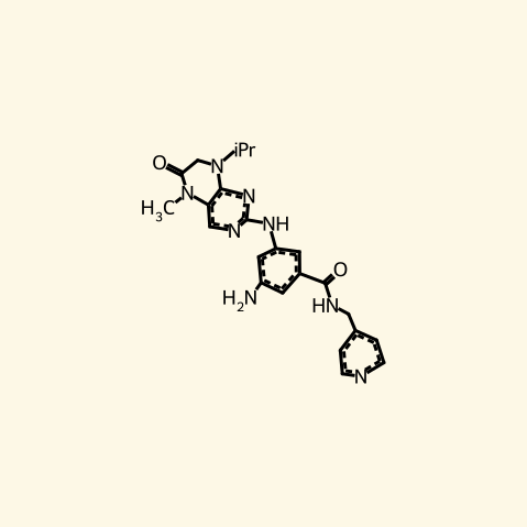 CC(C)N1CC(=O)N(C)c2cnc(Nc3cc(N)cc(C(=O)NCc4ccncc4)c3)nc21